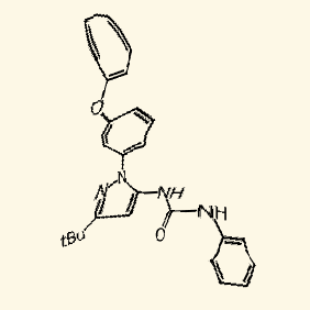 CC(C)(C)c1cc(NC(=O)Nc2ccccc2)n(-c2cccc(Oc3ccccc3)c2)n1